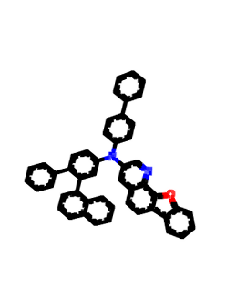 c1ccc(-c2ccc(N(c3ccc(-c4ccccc4)c(-c4cccc5ccccc45)c3)c3cnc4c(ccc5c6ccccc6oc54)c3)cc2)cc1